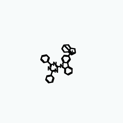 c1ccc(-c2nc(-c3ccccc3)nc(-n3c4ccccc4c4cc(N5C6CCC7CC5CC7C6)ccc43)n2)cc1